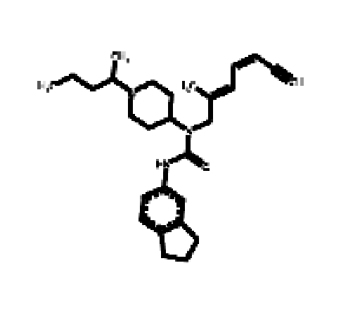 C#C/C=C\C=C(/C)CN(C(=O)Nc1ccc2c(c1)CCC2)C1CCN(C(C)CCC)CC1